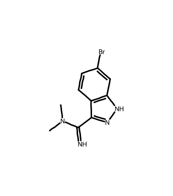 CN(C)C(=N)c1n[nH]c2cc(Br)ccc12